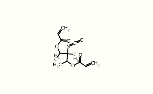 C=CC(=O)OC(C)C(C)(N=C=O)C(C)OC(=O)C=C